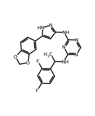 CC(Nc1ncnc(Nc2cc(-c3ccc4c(c3)OCO4)[nH]n2)n1)c1ccc(F)cc1F